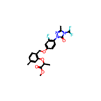 COC(=O)C(C)Oc1cc(C)ccc1COc1ccc(-n2nc(C)n(C(F)F)c2=O)c(F)c1